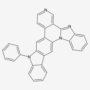 c1ccc(-n2c3ccccc3c3cc4c(cc32)c2ccncc2c2nc3ccccc3n42)cc1